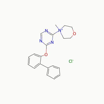 C[N+]1(c2ncnc(Oc3ccccc3-c3ccccc3)n2)CCOCC1.[Cl-]